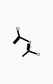 C=C(CC)/N=C(\C)Cl